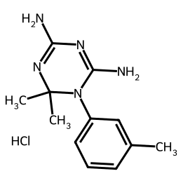 Cc1cccc(N2C(N)=NC(N)=NC2(C)C)c1.Cl